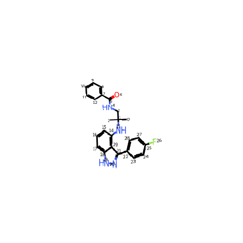 CC(C)(CNC(=O)c1ccccc1)Nc1cccc2[nH]nc(-c3ccc(F)cc3)c12